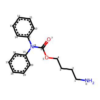 NCCCCOC(=O)N(c1ccccc1)c1ccccc1